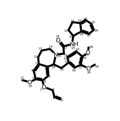 C=CCOc1cc2c(cc1OC)CCCN(CC(=O)NC1CCc3ccccc31)C2Cc1ccc(OC)c(OC)c1